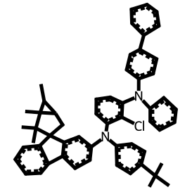 CC1C2CC3(c4ccccc4-c4ccc(N(c5ccc(C(C)(C)C)cc5)c5cccc(N(c6ccccc6)c6ccc(-c7ccccc7)cc6)c5Cl)cc43)C(C)(C)C12C